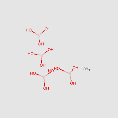 OB(O)O.OB(O)O.OB(O)O.OB(O)O.[InH3]